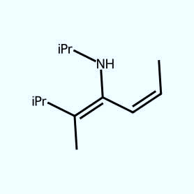 C/C=C\C(NC(C)C)=C(/C)C(C)C